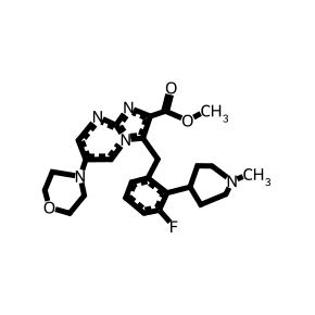 COC(=O)c1nc2ncc(N3CCOCC3)cn2c1Cc1cccc(F)c1C1CCN(C)CC1